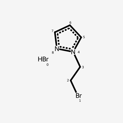 Br.BrCCn1cccn1